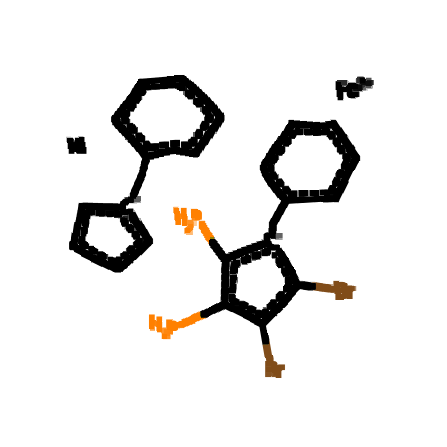 Pc1c(Br)c(Br)[c-](-c2ccccc2)c1P.[Fe+2].[Ni].c1ccc(-[c-]2cccc2)cc1